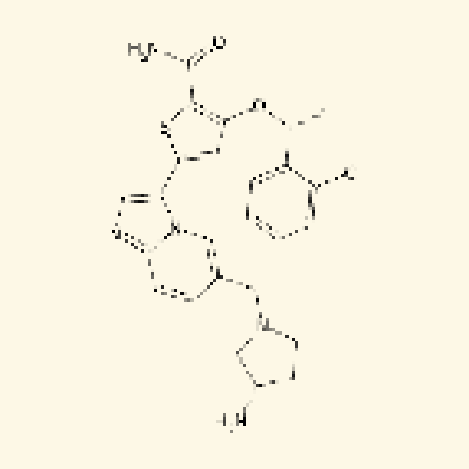 C[C@@H](Oc1cc(-c2cnc3ccc(CN4CC[C@H](N)C4)cn23)sc1C(N)=O)c1ccccc1Cl